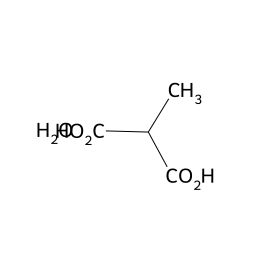 CC(C(=O)O)C(=O)O.O